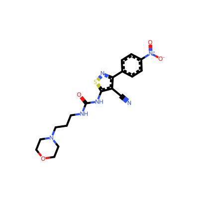 N#Cc1c(-c2ccc([N+](=O)[O-])cc2)nsc1NC(=O)NCCCN1CCOCC1